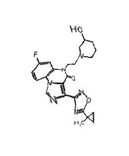 CC1(c2nc(-c3ncn4c3c(=O)n(CCN3CCCC(O)C3)c3cc(F)ccc34)no2)CC1